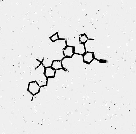 C[C@H]1CCCN(Cc2cc3c(c(C(F)(F)F)c2)CN(c2cc(-c4ccc(C#N)cc4-c4nncn4C)cc(NC4CCC4)n2)C3=O)C1